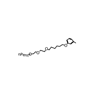 CCCCCOCCOCCOCCCCCCOc1cccc(C)c1